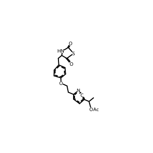 CC(=O)OC(C)c1ccc(CCOc2ccc(CC3NC(=O)SC3=O)cc2)nc1